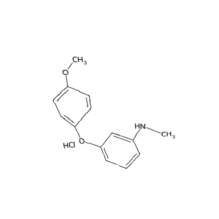 CNc1cccc(Oc2ccc(OC)cc2)c1.Cl